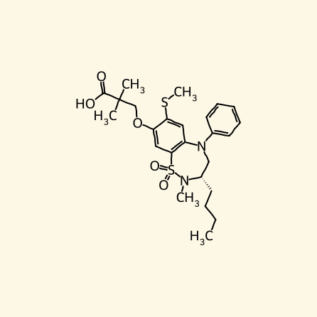 CCCC[C@H]1CN(c2ccccc2)c2cc(SC)c(OCC(C)(C)C(=O)O)cc2S(=O)(=O)N1C